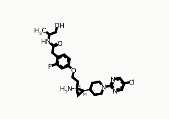 CC(CO)NC(=O)Cc1ccc(OCC[C@]2(N)C[C@@H]2C2CCN(c3ncc(Cl)cn3)CC2)cc1F